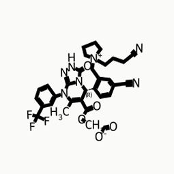 COC(=O)C1=C(C)N(c2cccc(C(F)(F)F)c2)c2n[nH]c(=O)n2[C@@H]1c1ccc(C#N)cc1C[N+]1(CCCC#N)CCCC1.O=C[O-]